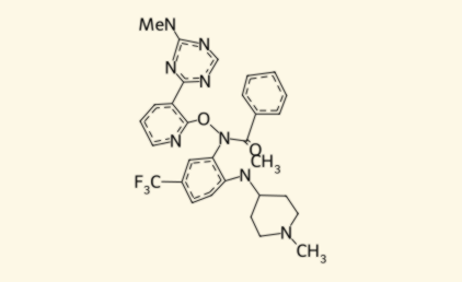 CNc1ncnc(-c2cccnc2ON(C(=O)c2ccccc2)c2cc(C(F)(F)F)ccc2N(C)C2CCN(C)CC2)n1